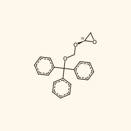 c1ccc(C(OCO[C@H]2CO2)(c2ccccc2)c2ccccc2)cc1